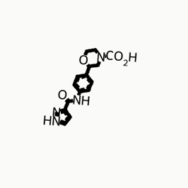 O=C(Nc1ccc(C2CN(C(=O)O)CCO2)cc1)c1cc[nH]n1